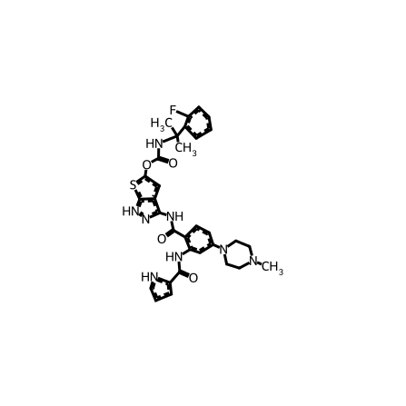 CN1CCN(c2ccc(C(=O)Nc3n[nH]c4sc(OC(=O)NC(C)(C)c5ccccc5F)cc34)c(NC(=O)c3ccc[nH]3)c2)CC1